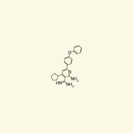 N=C(N)c1c(C2CCCC2)cc(-c2ccc(Oc3ccccc3)cc2)nc1N